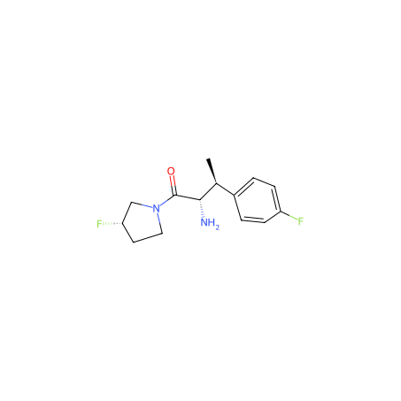 C[C@@H](c1ccc(F)cc1)[C@H](N)C(=O)N1CC[C@H](F)C1